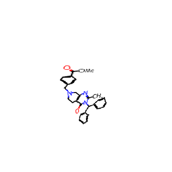 COC(=O)c1ccc(CN2CCc3c(nc(C)n(C(c4ccccc4)c4ccccc4)c3=O)C2)cc1